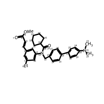 CCc1cc(/C=C/C(=O)OC)cc(N(Cc2ccc(-c3ccc(N(C)C)cc3)cc2)C(=O)C2CCCCC2)c1